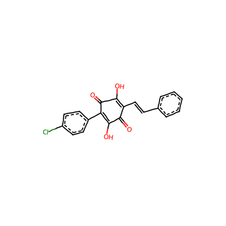 O=C1C(O)=C(c2ccc(Cl)cc2)C(=O)C(O)=C1C=Cc1ccccc1